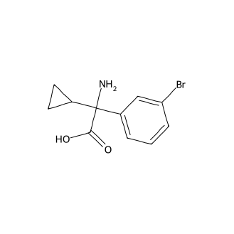 NC(C(=O)O)(c1cccc(Br)c1)C1CC1